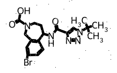 CC(C)(C)n1cc(C(=O)NC2CCN(C(=O)O)Cc3cc(Br)ccc32)nn1